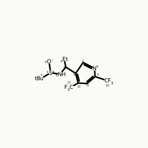 CCC(N[S+]([O-])C(C)(C)C)c1cnc(C(F)(F)F)cc1C(F)(F)F